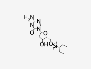 CCC(CC)[Si](C)(C)OC[C@H]1O[C@@H](n2cnc(N)nc2=O)C[C@@H]1O